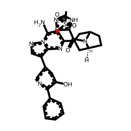 CS(=O)(=O)c1c(C2CC3CC[C@@H](C2)N3C(=O)c2nnc[nH]2)nc2c(-c3cnc(-c4ccccc4)c(O)c3)cnn2c1N